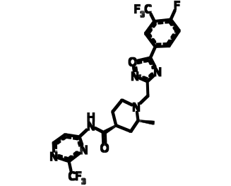 C[C@H]1C[C@@H](C(=O)Nc2ccnc(C(F)(F)F)n2)CCN1Cc1noc(-c2ccc(F)c(C(F)(F)F)c2)n1